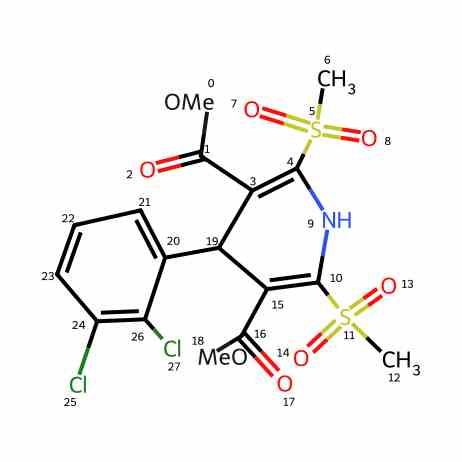 COC(=O)C1=C(S(C)(=O)=O)NC(S(C)(=O)=O)=C(C(=O)OC)C1c1cccc(Cl)c1Cl